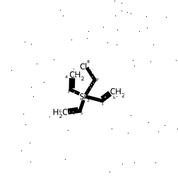 C=C[Si](C=C)(C=C)CCl